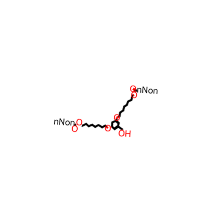 CCCCCCCCCC(=O)OCCCCCCCCOC1=CC(CO)=CC(OCCCCCCCCOC(=O)CCCCCCCCC)C1